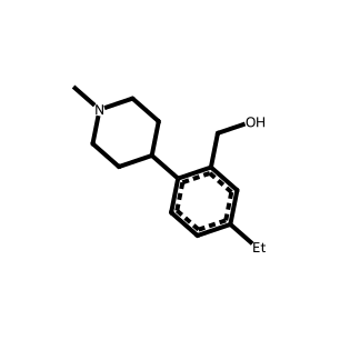 CCc1ccc(C2CCN(C)CC2)c(CO)c1